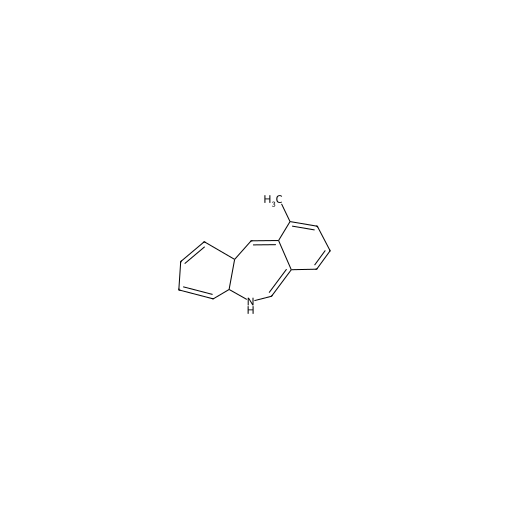 Cc1cccc2c1=CC1C=CC=CC1NC=2